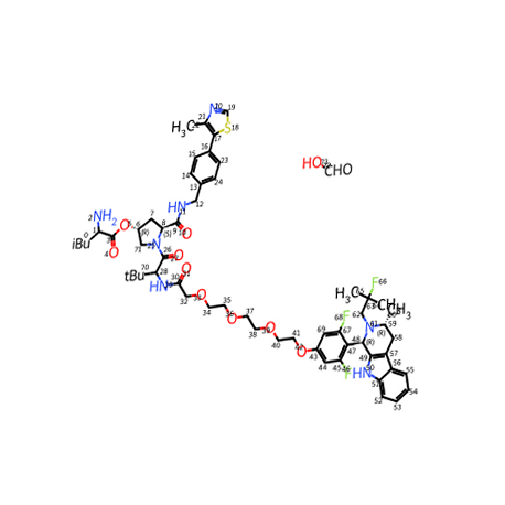 CCC(C)C(N)C(=O)O[C@@H]1C[C@@H](C(=O)NCc2ccc(-c3scnc3C)cc2)N(C(=O)C(NC(=O)COCCOCCOCCOc2cc(F)c([C@@H]3c4[nH]c5ccccc5c4C[C@@H](C)N3CC(C)(C)F)c(F)c2)C(C)(C)C)C1.O=CO